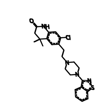 CC1(C)CC(=O)Nc2cc(Cl)c(CCN3CCN(c4nsc5ccccc45)CC3)cc21